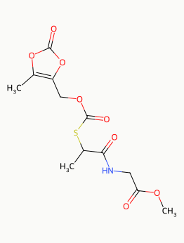 COC(=O)CNC(=O)C(C)SC(=O)OCc1oc(=O)oc1C